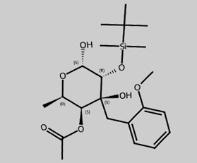 COc1ccccc1C[C@]1(O)[C@@H](OC(C)=O)[C@@H](C)O[C@H](O)[C@@H]1O[Si](C)(C)C(C)(C)C